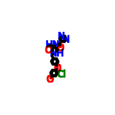 CCC(CC)(NC(=O)c1cncnc1)C(=O)NCc1ccc(Oc2ccc(OC)cc2Cl)cc1